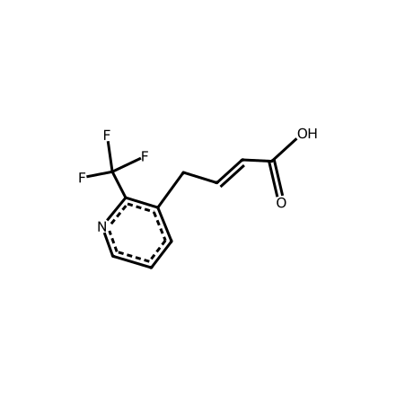 O=C(O)/C=C/Cc1cccnc1C(F)(F)F